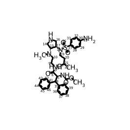 COC(=O)N[C@H](C(=O)NCCN(C)[C@@H]1CNC[C@H]1N(CCC(C)C)S(=O)(=O)c1ccc(N)cc1)C(c1ccccc1)c1ccccc1